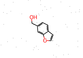 OCc1ccc2c[c]oc2c1